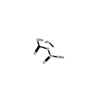 CCCC.COC(=O)O[PH](=O)OC